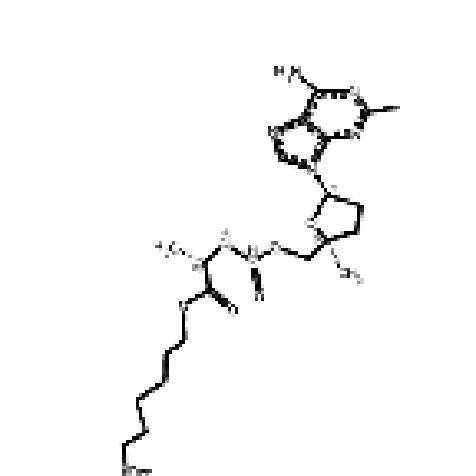 CCCCCCCCCCCCCCCCOC(=O)[C@H](C)N[PH](=O)OC[C@]1(C)CC[C@H](n2cnc3c(N)nc(F)nc32)O1